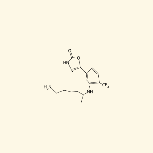 CC(CCCCN)Nc1cc(-c2n[nH]c(=O)o2)ccc1C(F)(F)F